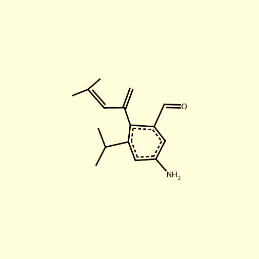 C=C(C=C(C)C)c1c(C=O)cc(N)cc1C(C)C